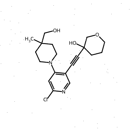 CC1(CO)CCN(c2cc(Cl)ncc2C#CC2(O)CCCOC2)CC1